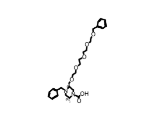 C[C@@H]1CN(Cc2ccccc2)[C@@H](COCCOCCOCCOCCOCc2ccccc2)CN1C(=O)O